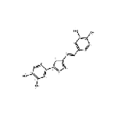 Oc1ccc(C=Nc2nnc(-c3ccc(O)c(O)c3)s2)cc1O